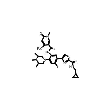 CC1CN(c2cc(F)c(-c3csc(C(=O)NCC4CC4)n3)cc2NC(=O)c2cn(C)c(=O)cc2C(F)(F)F)CC(C)N1C